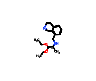 CCOC(OCC)[C@H](C)NCc1cccc2ccncc12